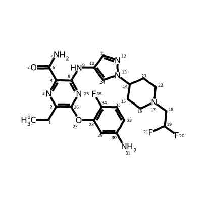 CCc1nc(C(N)=O)c(Nc2cnn(C3CCN(CC(F)F)CC3)c2)nc1Oc1cc(N)ccc1F